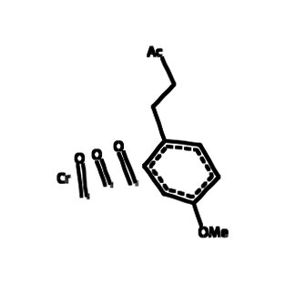 COc1ccc(CCC(C)=O)cc1.[C]=O.[C]=O.[C]=O.[Cr]